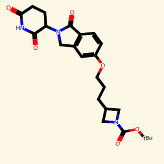 CC(C)(C)OC(=O)N1CC(CCCOc2ccc3c(c2)CN(C2CCC(=O)NC2=O)C3=O)C1